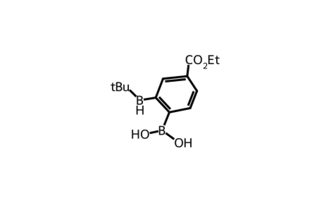 CCOC(=O)c1ccc(B(O)O)c(BC(C)(C)C)c1